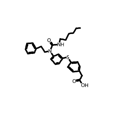 CCCCCCNC(=O)N(CCc1ccccc1)c1cccc(Sc2ccc(CC(=O)O)cc2)c1